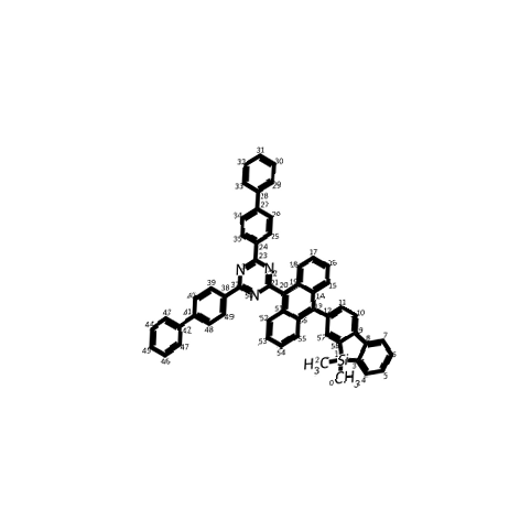 C[Si]1(C)c2ccccc2-c2ccc(-c3c4ccccc4c(-c4nc(-c5ccc(-c6ccccc6)cc5)nc(-c5ccc(-c6ccccc6)cc5)n4)c4ccccc34)cc21